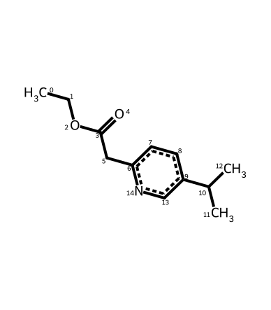 CCOC(=O)Cc1ccc(C(C)C)cn1